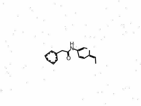 C\C=C(C)/C=C\C(=C/C)NC(=O)Cc1ccccc1